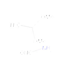 COC(C)OC.NC=O